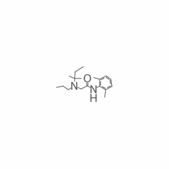 CCCN(CC(=O)Nc1c(C)cccc1C)C(C)(C)CC